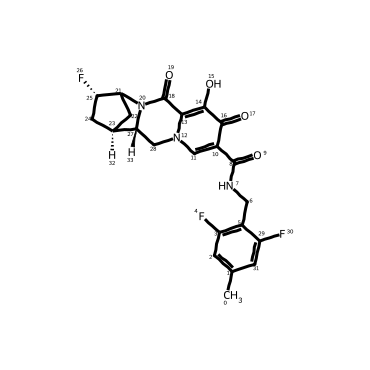 Cc1cc(F)c(CNC(=O)c2cn3c(c(O)c2=O)C(=O)N2C4C[C@H](C[C@@H]4F)[C@H]2C3)c(F)c1